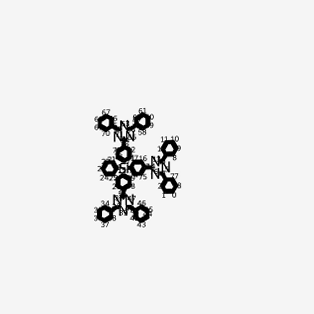 c1ccc(-c2nc(-c3ccccc3)nc(-c3ccc([Si](c4ccccc4)(c4ccc(-c5nc(-c6ccccc6)nc(-c6ccccc6)n5)cc4)c4ccc(-c5nc(-c6ccccc6)nc(-c6ccccc6)n5)cc4)cc3)n2)cc1